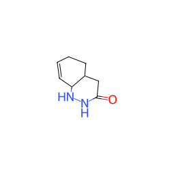 O=C1CC2CCC=CC2NN1